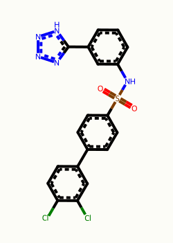 O=S(=O)(Nc1cccc(-c2nnn[nH]2)c1)c1ccc(-c2ccc(Cl)c(Cl)c2)cc1